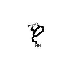 N=C/C=C\c1cccc2c1CBO2